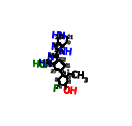 CCc1cc(O)c(F)cc1-c1ccc2c(-c3nc4c([nH]3)CCNC4)n[nH]c2c1.Cl